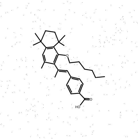 CCCCCCOc1c(/C(C)=C/c2ccc(C(=O)O)cc2)c(C)cc2c1C(C)(C)CCC2(C)C